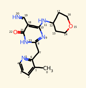 Cc1cccnc1Cc1nc(NC2CCOCC2)c(C=N)c(=O)[nH]1